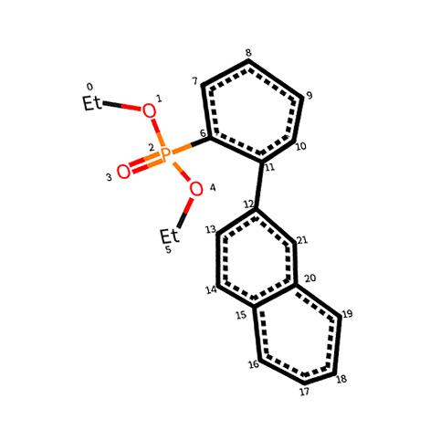 CCOP(=O)(OCC)c1ccccc1-c1ccc2ccccc2c1